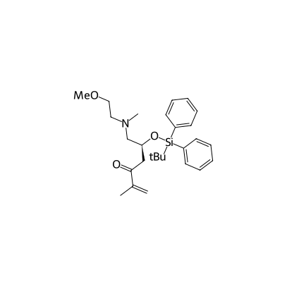 C=C(C)C(=O)C[C@@H](CN(C)CCOC)O[Si](c1ccccc1)(c1ccccc1)C(C)(C)C